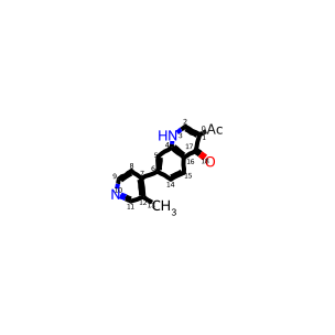 CC(=O)c1c[nH]c2cc(-c3ccncc3C)ccc2c1=O